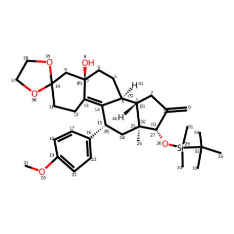 C=C1C[C@H]2[C@@H]3CC[C@@]4(O)CC5(CCC4=C3[C@@H](c3ccc(OC)cc3)C[C@]2(C)[C@H]1O[Si](C)(C)C(C)(C)C)OCCO5